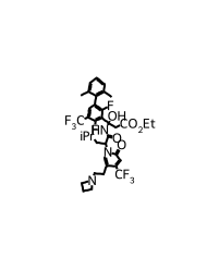 CCOC(=O)C[C@](O)(NC(=O)C(CC(C)C)n1cc(CCN2CCC2)c(C(F)(F)F)cc1=O)c1c(F)c(-c2c(C)cccc2C)cc(C(F)(F)F)c1F